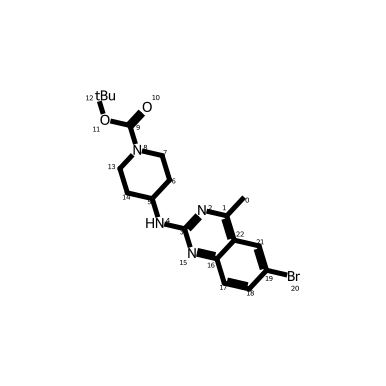 Cc1nc(NC2CCN(C(=O)OC(C)(C)C)CC2)nc2ccc(Br)cc12